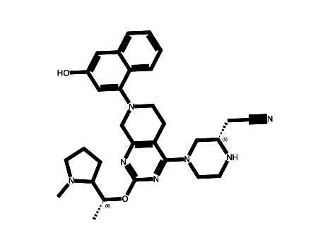 C[C@@H](Oc1nc2c(c(N3CCN[C@@H](CC#N)C3)n1)CCN(c1cc(O)cc3ccccc13)C2)C1CCCN1C